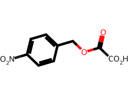 O=C(O)C(=O)OCc1ccc([N+](=O)[O-])cc1